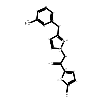 O=C(Cn1[c]cc(Cc2cccc(O)c2)n1)c1ccc(Cl)s1